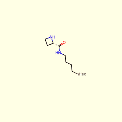 CCCCCCCCCCNC(=O)[C@@H]1CCN1